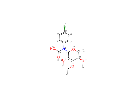 CCO[C@@H]1[C@H](OC)[C@H](N(C(=O)O)c2ccc(Br)cc2)O[C@H](C)[C@H]1OC